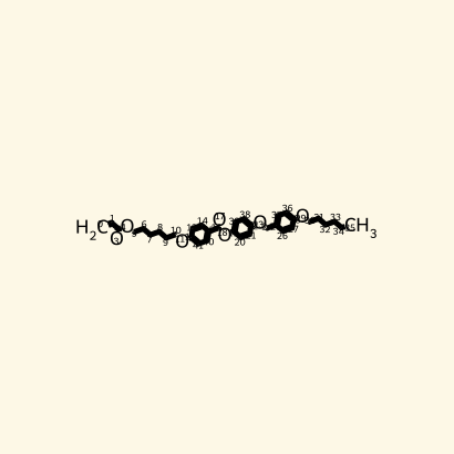 C=CC(=O)OCCCCCCOc1ccc(C(=O)Oc2ccc(OCc3ccc(OCCCCCC)cc3)cc2)cc1